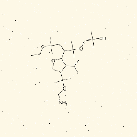 CCOC(C)(C)CC(C1OCC(C(C)(C)OCN)C1C(C)C)C(C)(C)OCC(C)(C)O